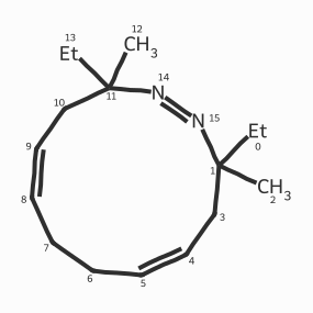 CCC1(C)CC=CCCC=CCC(C)(CC)N=N1